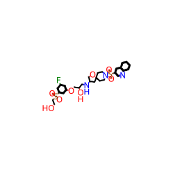 O=S(=O)(CCO)c1cc(F)cc(OC[C@@H](O)CN[C@H]2COC3(CCN(S(=O)(=O)c4cnc5ccccc5c4)CC3)C2)c1